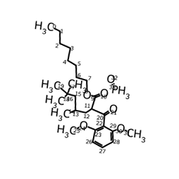 CCCCCCCCOC(=O)C(CC(C)CC(C)(C)C)C(=O)c1c(OC)cccc1OC.O=[PH3]